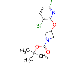 CC(C)(C)OC(=O)N1CC(Oc2nc(Cl)ccc2Br)C1